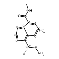 CNC(=O)c1ccnc2c([C@@H](C)CN)cccc12.Cl